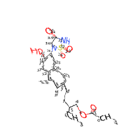 CC(=O)OCC(C)CCc1ccc2cc(O)c(N3CC(=O)NS3(=O)=O)cc2c1